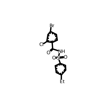 CCc1ccc(S(=O)(=O)NC(=O)c2ccc(Br)cc2Cl)cc1